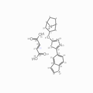 CN1C2CCC1CC(Oc1nnc(-c3ccc4sccc4c3)s1)C2.O=C(O)/C=C/C(=O)O